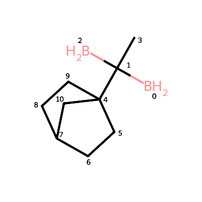 BC(B)(C)C12CCC(CC1)C2